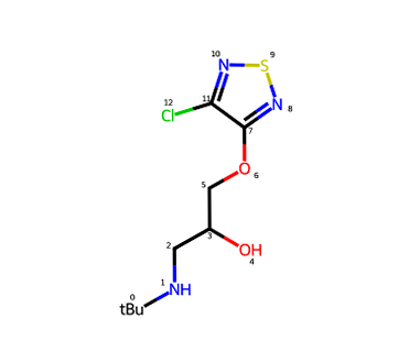 CC(C)(C)NCC(O)COc1nsnc1Cl